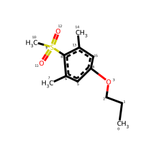 CCCOc1cc(C)c(S(C)(=O)=O)c(C)c1